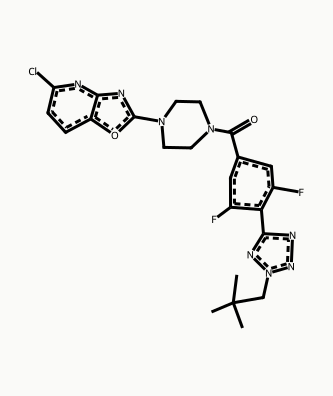 CC(C)(C)Cn1nnc(-c2c(F)cc(C(=O)N3CCN(c4nc5nc(Cl)ccc5o4)CC3)cc2F)n1